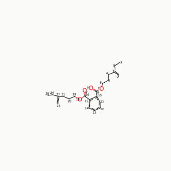 C=C(CC)CCCOC(=O)c1ccccc1C(=O)OCCCC(=C)CC